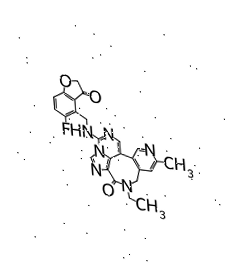 CCN1Cc2cc(C)ncc2-c2cnc(NCc3c(F)ccc4c3C(=O)CO4)n3cnc(c23)C1=O